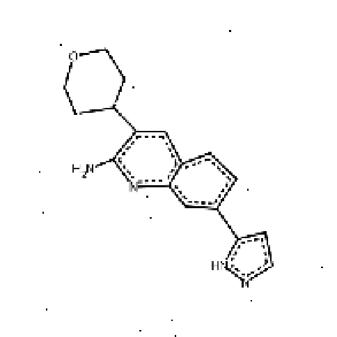 Nc1nc2cc(-c3ccn[nH]3)ccc2cc1C1CCOCC1